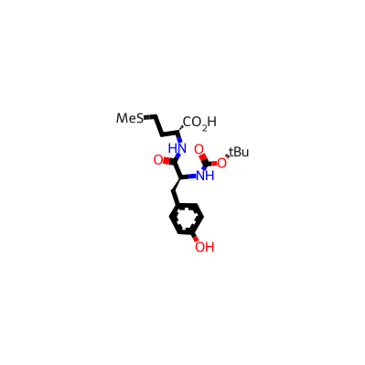 CSCC[C@@H](NC(=O)[C@H](Cc1ccc(O)cc1)NC(=O)OC(C)(C)C)C(=O)O